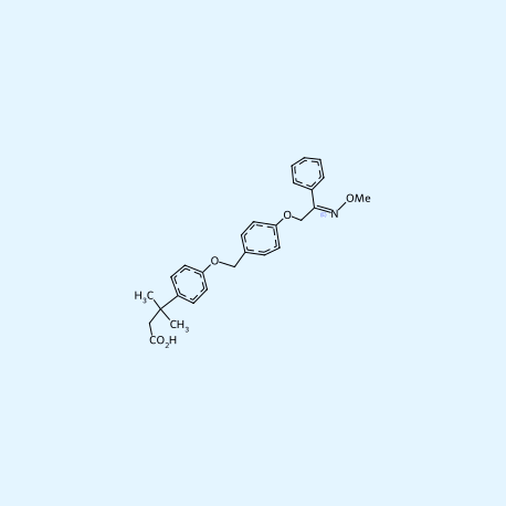 CO/N=C(/COc1ccc(COc2ccc(C(C)(C)CC(=O)O)cc2)cc1)c1ccccc1